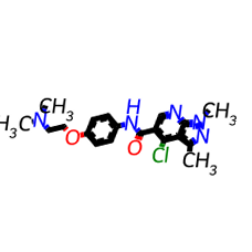 Cc1nn(C)c2ncc(C(=O)Nc3ccc(OCCN(C)C)cc3)c(Cl)c12